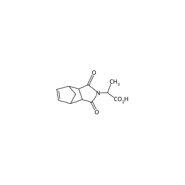 CC(C(=O)O)N1C(=O)C2C3C=CC(C3)C2C1=O